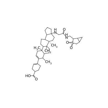 CC1C(C2=CCC(C(=O)O)CC2)=CCC2(C)C1CCC1(C)C2CCC2C3CCCC3(NCC(=O)NCC3C4CC4CS3(=O)=O)CC[C@]21C